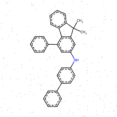 CC1(C)c2ccccc2-c2c(-c3ccccc3)cc(Nc3ccc(-c4ccccc4)cc3)cc21